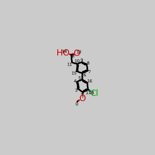 COc1ccc(-c2cccc(CC(=O)O)c2)cc1Cl